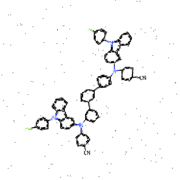 N#Cc1ccc(N(c2ccc(-c3cccc(-c4cccc(N(c5ccc(C#N)cc5)c5ccc6c(c5)c5ccccc5n6-c5ccc(F)cc5)c4)c3)cc2)c2ccc3c(c2)c2ccccc2n3-c2ccc(F)cc2)cc1